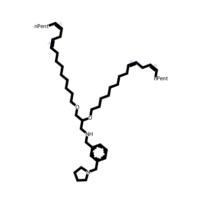 CCCCC/C=C\C/C=C\CCCCCCCCOCC(CNCc1cccc(CN2CCCC2)c1)OCCCCCCCC/C=C\C/C=C\CCCCC